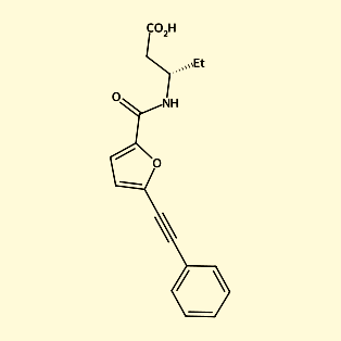 CC[C@@H](CC(=O)O)NC(=O)c1ccc(C#Cc2ccccc2)o1